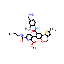 CCCNC(=O)c1ccc(-c2cc3c(cc2C(=O)Nc2ccc(CN)cc2C)-c2sc(C)cc2CCO3)c(C(=O)OC)n1